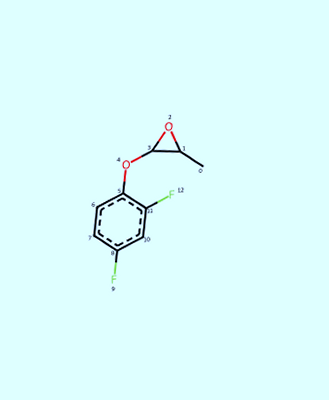 CC1OC1Oc1ccc(F)cc1F